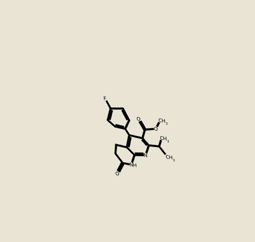 COC(=O)c1c(C(C)C)nc2c(c1-c1ccc(F)cc1)CCC(=O)N2